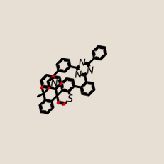 CC1(C)c2ccccc2C2(c3ccccc3Sc3c(-c4ccccc4-c4nc(-c5ccccc5)nc(-c5cccc(-c6ccccn6)c5)n4)cccc32)c2ccccc21